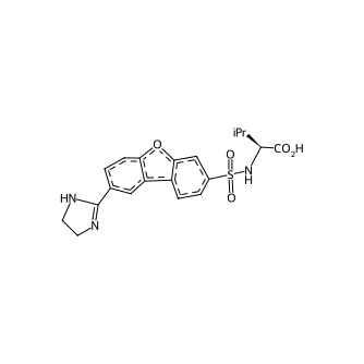 CC(C)[C@H](NS(=O)(=O)c1ccc2c(c1)oc1ccc(C3=NCCN3)cc12)C(=O)O